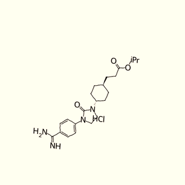 CC(C)OC(=O)CC[C@H]1CC[C@H](N2CCN(c3ccc(C(=N)N)cc3)C2=O)CC1.Cl